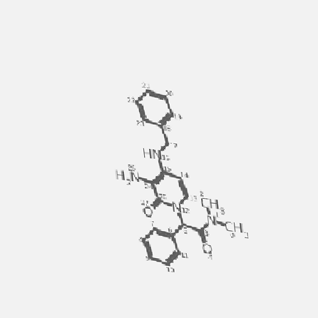 CN(C)C(=O)C(c1ccccc1)n1ccc(NCc2ccccc2)c(N)c1=O